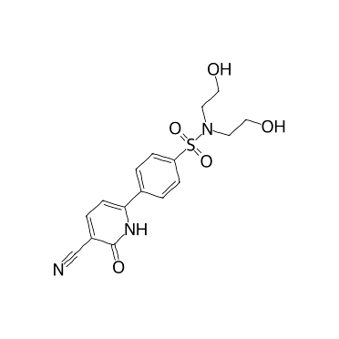 N#Cc1ccc(-c2ccc(S(=O)(=O)N(CCO)CCO)cc2)[nH]c1=O